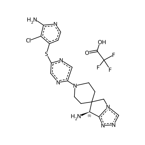 Nc1nccc(Sc2cnc(N3CCC4(CC3)Cn3cnnc3[C@H]4N)cn2)c1Cl.O=C(O)C(F)(F)F